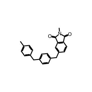 Cc1ccc(Cc2ccc(Cc3ccc4c(c3)C(=O)N(C)C4=O)cc2)cc1